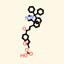 O=C(O)OCc1cc2cc(C(=O)C=Cc3ccccc3-c3cncn3C(c3ccccc3)(c3ccccc3)c3ccccc3)ccc2o1